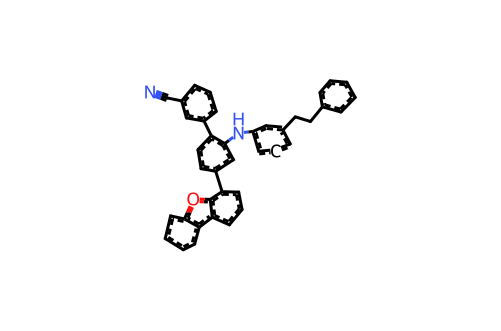 N#Cc1cccc(-c2ccc(-c3cccc4c3oc3ccccc34)cc2Nc2cccc(CCc3ccccc3)c2)c1